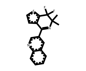 CC1(C)N=C(c2cnc3ccccc3c2)c2ccsc2C1(F)F